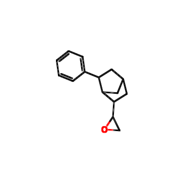 c1ccc(C2CC3CC(C4CO4)C2C3)cc1